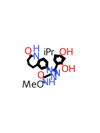 CONC(=O)c1nnc(-c2cc(C(C)C)c(O)cc2O)n1-c1ccc2c(c1)CCCC(=O)N2